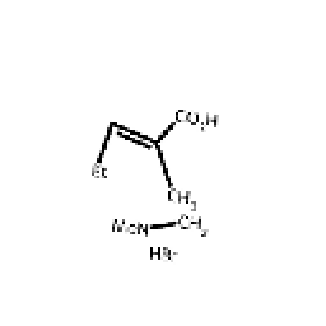 Br.CCC=C(C)C(=O)O.CNC